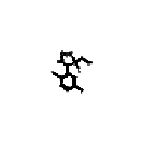 O=C(O)NC(c1cc(Br)ccc1F)C(F)(F)CO